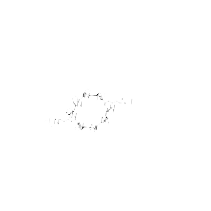 NCCCCC1NC(=O)c2coc(n2)-c2coc(n2)-c2coc(n2)C(CCCCN)NC(=O)c2coc(n2)-c2coc(n2)-c2coc1n2